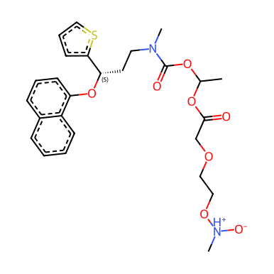 CC(OC(=O)COCCO[NH+](C)[O-])OC(=O)N(C)CC[C@H](Oc1cccc2ccccc12)c1cccs1